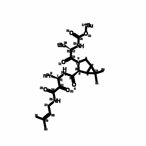 CCC[C@@H](NC(=O)[C@@H]1C2C(CN1C(=O)[C@@H](NC(=O)OC(C)(C)C)C(C)(C)C)C2(C)C)C(=O)C(=O)NCC=C(C)C